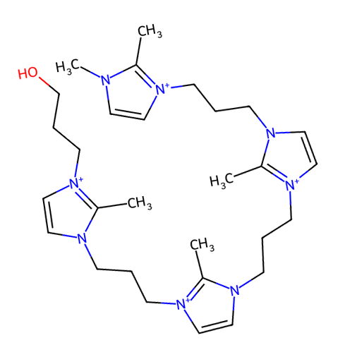 Cc1n(C)cc[n+]1CCCn1cc[n+](CCCn2cc[n+](CCCn3cc[n+](CCCO)c3C)c2C)c1C